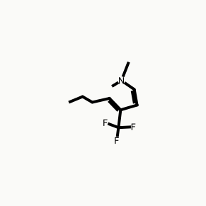 CCC/C=C(/C=C\N(C)C)C(F)(F)F